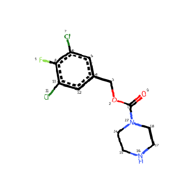 O=C(OCc1cc(Cl)c(F)c(Cl)c1)N1CCNCC1